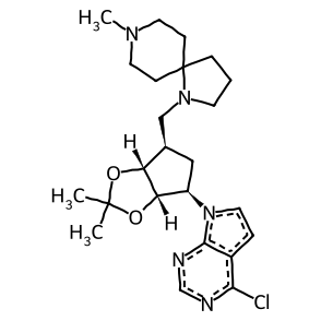 CN1CCC2(CCCN2C[C@H]2C[C@@H](n3ccc4c(Cl)ncnc43)[C@@H]3OC(C)(C)O[C@H]23)CC1